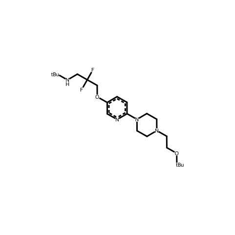 CC(C)(C)NCC(F)(F)COc1ccc(N2CCN(CCOC(C)(C)C)CC2)nc1